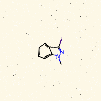 Cn1nc(I)c2ccccc21